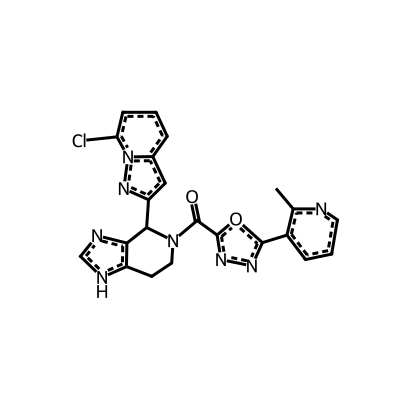 Cc1ncccc1-c1nnc(C(=O)N2CCc3[nH]cnc3C2c2cc3cccc(Cl)n3n2)o1